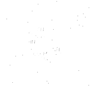 CS(=O)(=O)NC(CC(N)=O)C(=O)O